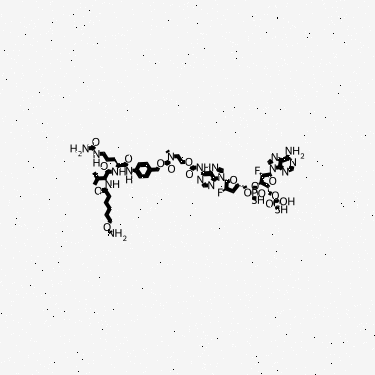 CC(C)[C@H](NC(=O)CCCCCON)C(=O)N[C@@H](CCCNC(N)=O)C(=O)Nc1ccc(COC(=O)N(C)CCOC(=O)Nc2ncnc3c2ncn3[C@@H]2O[C@H](COP(=O)(S)O[C@H]3[C@@H](F)[C@H](n4cnc5c(N)ncnc54)O[C@@H]3COP(=O)(O)S)C[C@H]2F)cc1